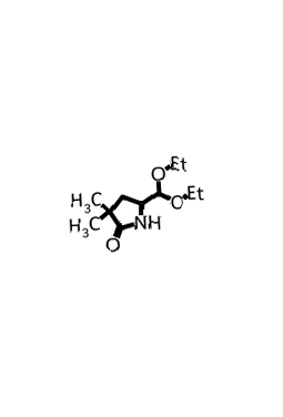 CCOC(OCC)C1CC(C)(C)C(=O)N1